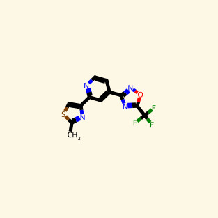 Cc1nc(-c2cc(-c3noc(C(F)(F)F)n3)ccn2)cs1